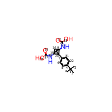 CC(C)(C)c1ccc(C2C3(NC(=O)O)CC2(NC(=O)O)C3)cc1